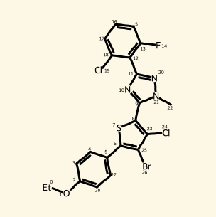 CCOc1ccc(-c2sc(-c3nc(-c4c(F)cccc4Cl)nn3C)c(Cl)c2Br)cc1